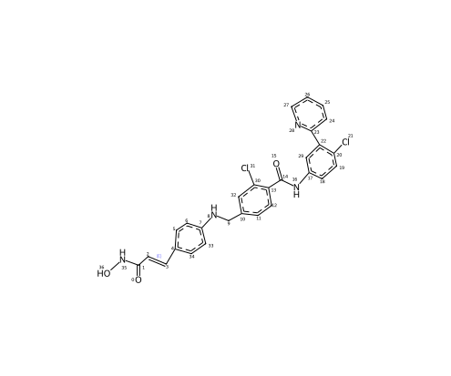 O=C(/C=C/c1ccc(NCc2ccc(C(=O)Nc3ccc(Cl)c(-c4ccccn4)c3)c(Cl)c2)cc1)NO